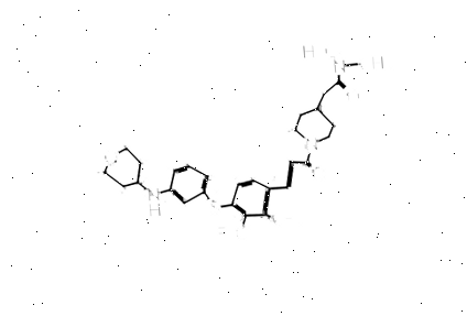 CN(C)C(=O)CC1CCN(C(=O)/C=C/c2ccc(Sc3cccc(NC4CCOCC4)c3)c(C(F)(F)F)c2C(F)(F)F)CC1